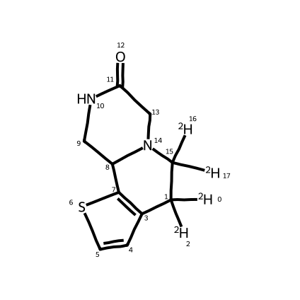 [2H]C1([2H])c2ccsc2C2CNC(=O)CN2C1([2H])[2H]